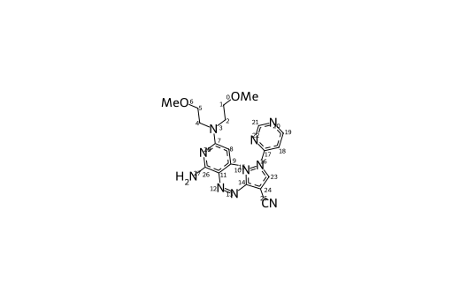 COCCN(CCOC)c1cc(C)c(/N=N\c2nn(-c3ccncn3)cc2C#N)c(N)n1